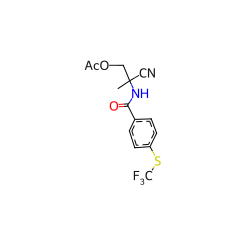 CC(=O)OCC(C)(C#N)NC(=O)c1ccc(SC(F)(F)F)cc1